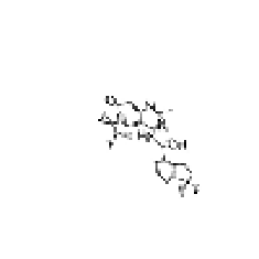 Cc1nc(NC(O)c2cccc3c2CCC3(F)F)c2cn(C3(C(F)F)CC3)c(=O)cc2n1